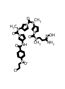 CN(CCC(N)=NO)C(=O)n1ccc(N(C)C(=O)n2ccc(N(C)C(=O)n3ccc(NC(=O)c4ccc([S+]([O-])CCCl)cc4)c3)c2)c1